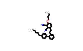 CCCCCc1ccc(-c2ccccc2CCc2ccc(OCCCC)c(C#N)c2C#N)cc1